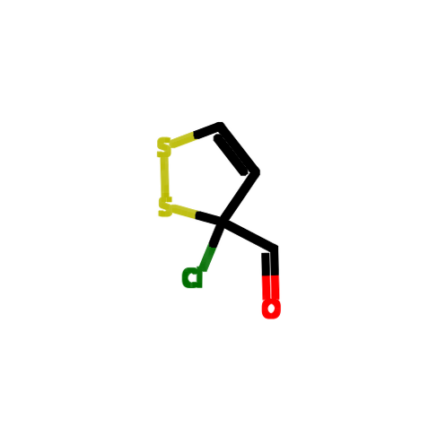 O=CC1(Cl)C=CSS1